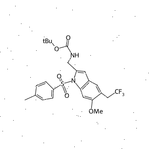 COc1cc2c(cc1CC(F)(F)F)cc(CNC(=O)OC(C)(C)C)n2S(=O)(=O)c1ccc(C)cc1